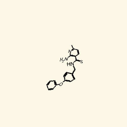 Cc1ccc(C(=S)NCc2ccc(Oc3ccccc3)cc2)c(N)n1